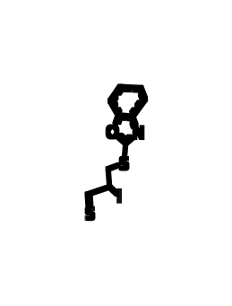 S=CC(I)CSc1nc2ccccc2o1